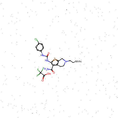 CC(=O)NCCN1CCc2c(sc(NC(=O)Nc3ccc(Cl)cc3)c2C(N)=O)C1.O=C(O)C(F)(F)F